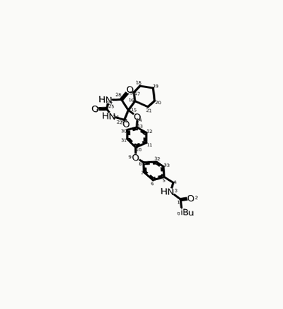 CCC(C)C(=O)NCc1ccc(Oc2ccc(OC3(C4CCCCC4)C(=O)NC(=O)NC3=O)cc2)cc1